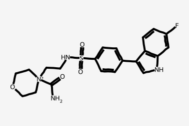 NC(=O)[N+]1(CCNS(=O)(=O)c2ccc(-c3c[nH]c4cc(F)ccc34)cc2)CCOCC1